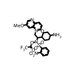 COc1cnc2ccc(=O)n(CC(C3CCC(N)CC3)N(OC(=O)C(F)(F)F)S(=O)(=O)c3ccccc3[N+](=O)[O-])c2c1